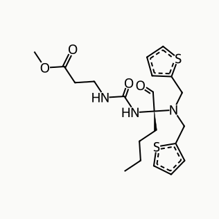 CCCC[C@](C=O)(NC(=O)NCCC(=O)OC)N(Cc1cccs1)Cc1cccs1